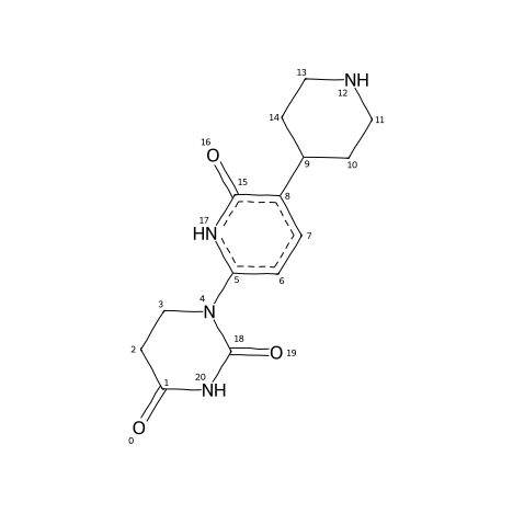 O=C1CCN(c2ccc(C3CCNCC3)c(=O)[nH]2)C(=O)N1